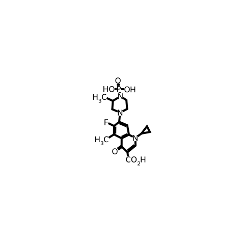 Cc1c(F)c(N2CCN(P(=O)(O)O)C(C)C2)cc2c1c(=O)c(C(=O)O)cn2C1CC1